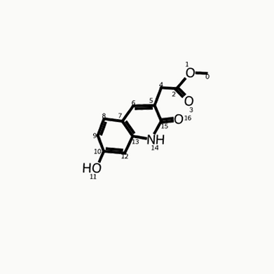 COC(=O)Cc1cc2ccc(O)cc2[nH]c1=O